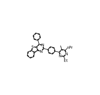 CCCc1nc(CC)nc(-c2ccc(-c3nc(-c4ccccc4)c4sc5ccccc5c4n3)cc2)c1C